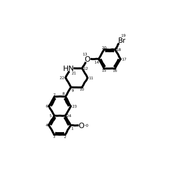 [O]c1cccc2ccc(C3CCC(Oc4cccc(Br)c4)NC3)cc12